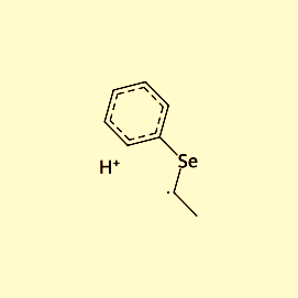 C[CH][Se]c1ccccc1.[H+]